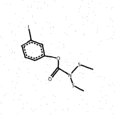 CSN(SC)C(=O)Oc1cccc(I)c1